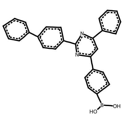 OB(O)c1ccc(-c2cc(-c3ccccc3)nc(-c3ccc(-c4ccccc4)cc3)n2)cc1